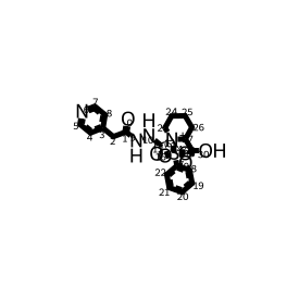 O=C(Cc1ccncc1)NNC(=O)[N@+]1(S(=O)(=O)c2ccccc2)CCCCC1C(=O)O